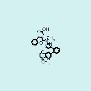 CN1CCOc2cc(-c3ccccc3-c3csc(N(C)C(=O)[C@@H](CC(=O)O)Cc4ccccc4)n3)cnc21